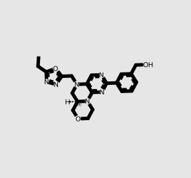 CCc1nnc(CN2C[C@@H]3COCCN3c3nc(-c4cccc(CO)c4)ncc32)o1